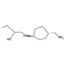 CCC(O)CN[C@H]1CC[C@H](CN)CC1